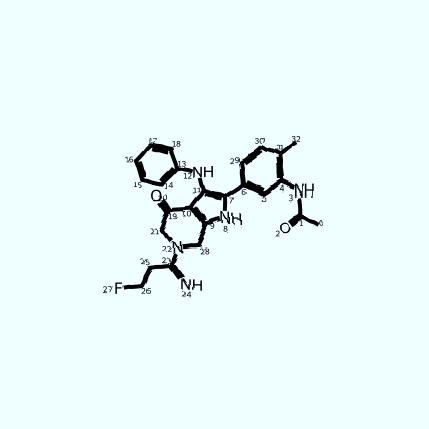 CC(=O)Nc1cc(-c2[nH]c3c(c2Nc2ccccc2)C(=O)CN(C(=N)CCF)C3)ccc1C